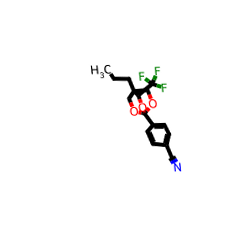 CCCC12COC(c3ccc(C#N)cc3)(OC1)OC2C(F)(F)F